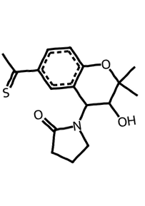 CC(=S)c1ccc2c(c1)C(N1CCCC1=O)C(O)C(C)(C)O2